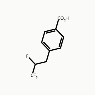 O=C(O)c1ccc(CC(F)C(F)(F)F)cc1